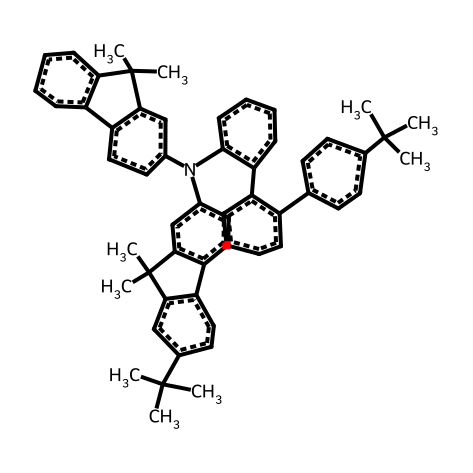 CC(C)(C)c1ccc(-c2ccccc2-c2ccccc2N(c2ccc3c(c2)C(C)(C)c2ccccc2-3)c2ccc3c(c2)C(C)(C)c2cc(C(C)(C)C)ccc2-3)cc1